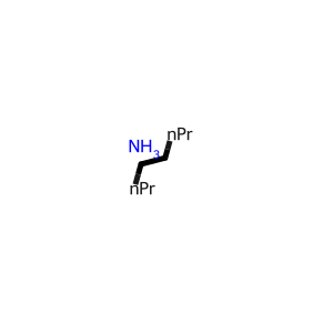 N.[CH2]CCCCCCC